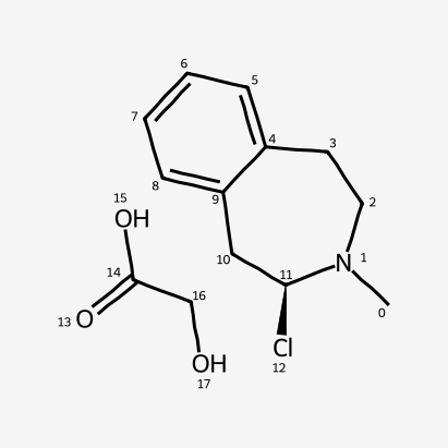 CN1CCc2ccccc2C[C@@H]1Cl.O=C(O)CO